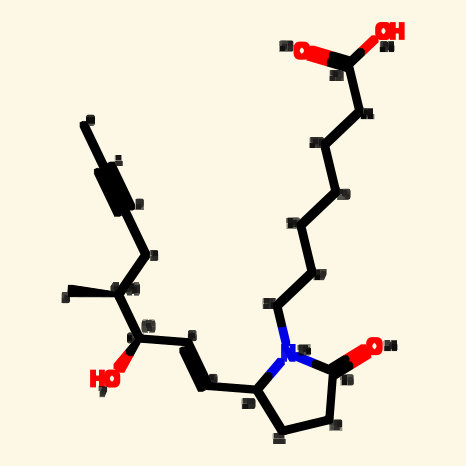 CC#CC[C@H](C)[C@H](O)C=CC1CCC(=O)N1CCCCCCC(=O)O